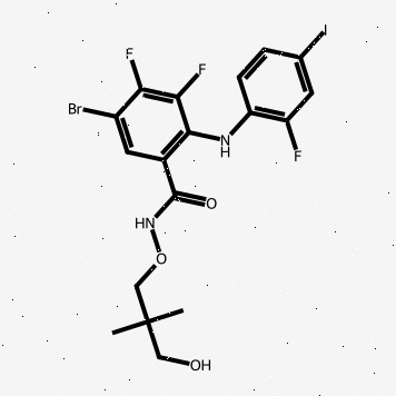 CC(C)(CO)CONC(=O)c1cc(Br)c(F)c(F)c1Nc1ccc(I)cc1F